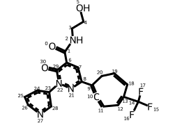 O=C(NCCO)c1cc(C2=C=C/C=C(/C(F)(F)F)C=CC2)nn(-c2cccnc2)c1=O